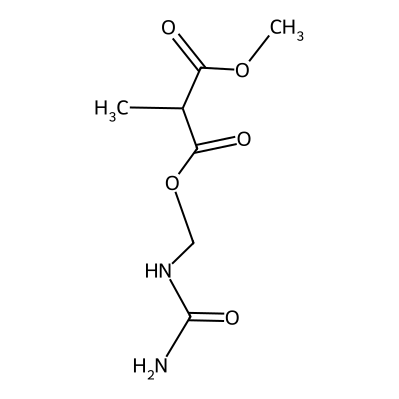 COC(=O)C(C)C(=O)OCNC(N)=O